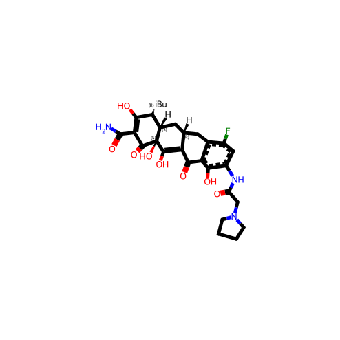 CC[C@@H](C)C1C(O)=C(C(N)=O)C(=O)[C@@]2(O)C(O)=C3C(=O)c4c(O)c(NC(=O)CN5CCCC5)cc(F)c4C[C@H]3C[C@@H]12